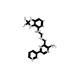 Nc1ncc(-c2cccnc2)nc1COCNc1cccc2c1OC(F)(F)O2